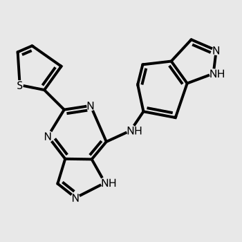 c1csc(-c2nc(Nc3ccc4cn[nH]c4c3)c3[nH]ncc3n2)c1